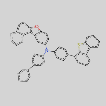 c1ccc(-c2ccc(N(c3ccc(-c4cccc5c4sc4ccccc45)cc3)c3ccc4oc5ccc6ccccc6c5c4c3)cc2)cc1